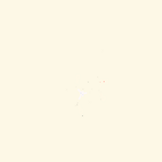 CCCCCC(C)(C(=O)O)N1C(=O)CCC1=O